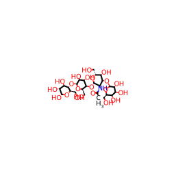 CC(=O)N[C@H]1[C@H](O[C@@H]2[C@H](O)[C@@H](O)[C@H](O[C@H]3[C@H](O)[C@@H](O)[C@H](O)O[C@@H]3CO)O[C@@H]2CO)O[C@H](CO)[C@H](O)[C@@H]1O[C@@H]1O[C@H](CO)[C@H](O)[C@H](O)[C@H]1O